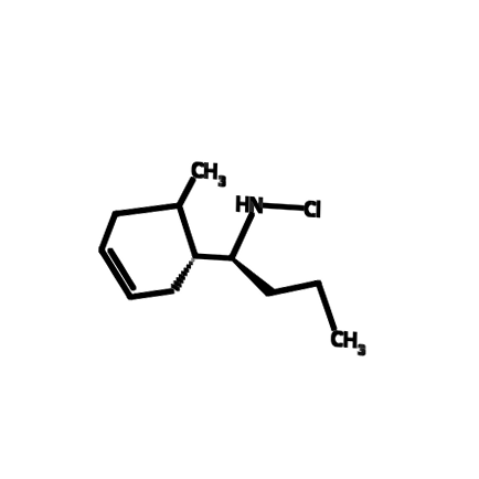 CCC[C@H](NCl)[C@@H]1CC=CCC1C